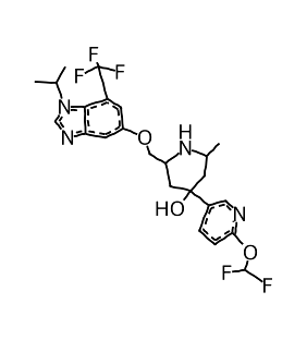 CC1CC(O)(c2ccc(OC(F)F)nc2)CC(COc2cc(C(F)(F)F)c3c(c2)ncn3C(C)C)N1